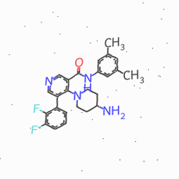 Cc1cc(C)cc(NC(=O)c2cncc(-c3cccc(F)c3F)c2N2CCC(N)CC2)c1